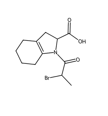 CC(Br)C(=O)N1C2=C(CCCC2)CC1C(=O)O